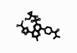 Cc1nc(-c2nnc(C(F)F)s2)c2cc(S(=O)(=O)NC3(CF)CC3)cc(N3CCN(C(=O)C(C)C)CC3)c2n1